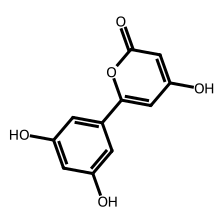 O=c1cc(O)cc(-c2cc(O)cc(O)c2)o1